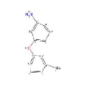 CC(C)(C)c1cccc(Oc2cccc(N)c2)c1